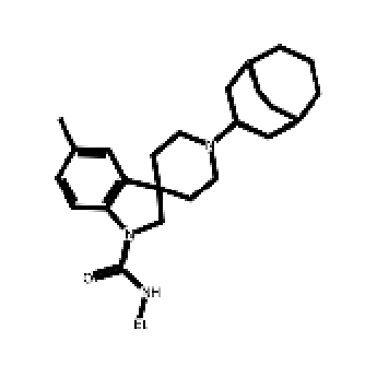 CCNC(=O)N1CC2(CCN(C3CC4CCCC(CC4)C3)CC2)c2cc(C)ccc21